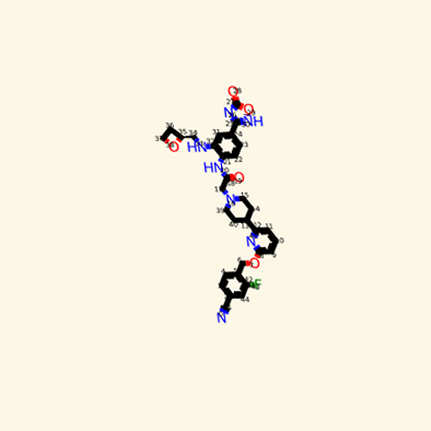 N#Cc1ccc(COc2cccc(C3CCN(CC(=O)Nc4ccc(-c5nc(=O)o[nH]5)cc4NC[C@@H]4CCO4)CC3)n2)c(F)c1